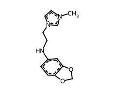 Cn1cc[n+](CCNc2ccc3c(c2)OCO3)c1